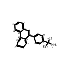 CCC(N)(CC)c1ccc(-c2cc3ccccc3c3ccccc23)cc1